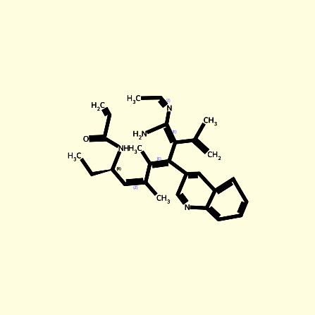 C=CC(=O)N[C@@H](\C=C(C)/C(C)=C(/C(C(=C)C)=C(N)/N=C\C)c1cnc2ccccc2c1)CC